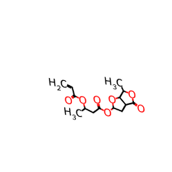 C=CC(=O)OC(C)CC(=O)OC1CC2C(=O)OC(C)C2O1